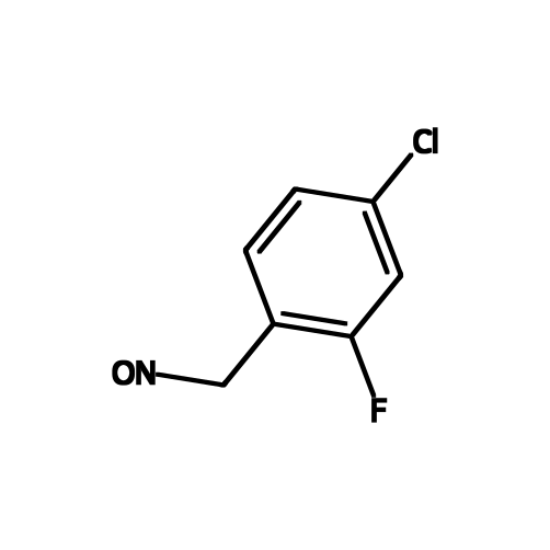 O=NCc1ccc(Cl)cc1F